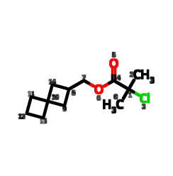 CC(C)(Cl)C(=O)OCC1CC2(CCC2)C1